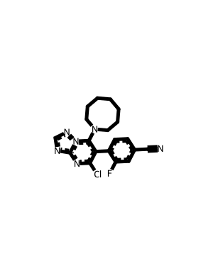 N#Cc1ccc(-c2c(Cl)nc3ncnn3c2N2CCCCCCC2)c(F)c1